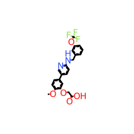 COc1ccc(-c2ccc(NCc3cccc(OC(F)(F)F)c3)nc2)cc1OCC(=O)O